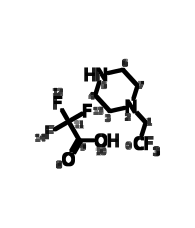 FC(F)(F)CN1CCNCC1.O=C(O)C(F)(F)F